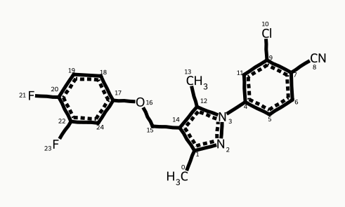 Cc1nn(-c2ccc(C#N)c(Cl)c2)c(C)c1COc1ccc(F)c(F)c1